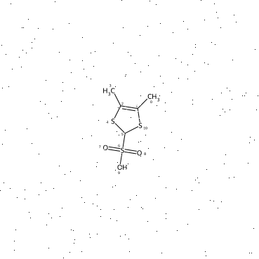 CC1=C(C)SC(S(=O)(=O)O)S1